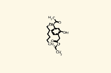 CCCCCCC.CCOC(=O)Cc1ccc(NC(C)=O)cc1O